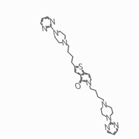 O=c1c2cc(CCCCN3CCN(c4ncccn4)CC3)sc2ccn1CCCCN1CCN(c2ncccn2)CC1